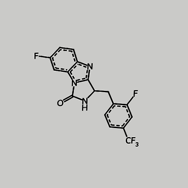 O=C1NC(Cc2ccc(C(F)(F)F)cc2F)c2nc3ccc(F)cc3n21